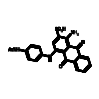 CC(=O)Nc1ccc(Nc2cc(S(=O)(=O)O)c(N)c3c2C(=O)c2ccccc2C3=O)cc1